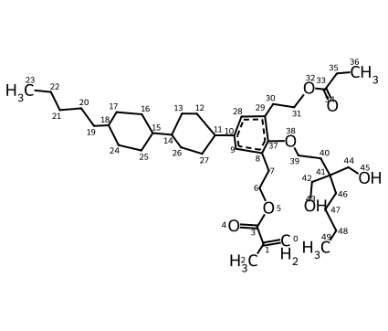 C=C(C)C(=O)OCCc1cc(C2CCC(C3CCC(CCCCC)CC3)CC2)cc(CCOC(=O)CC)c1OCCC(CO)(CO)CCCC